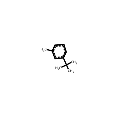 Cc1[c]ccc(C(C)(C)C)c1